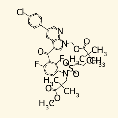 CCCS(=O)(=O)N(CC(C)(C)C(=O)OC)c1ccc(F)c(C(=O)c2cn(COC(=O)C(C)(C)C)c3ncc(-c4ccc(Cl)cc4)cc23)c1F